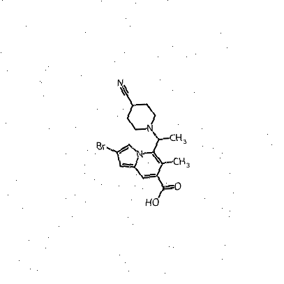 Cc1c(C(=O)O)cc2cc(Br)cn2c1C(C)N1CCC(C#N)CC1